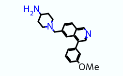 COc1cccc(-c2cncc3ccc(CN4CCC(N)CC4)cc23)c1